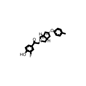 Cc1ccc(O[C@@H]2C[C@@H]3CN(CC(=O)c4ccc(O)c(F)c4)C[C@@H]3C2)cc1